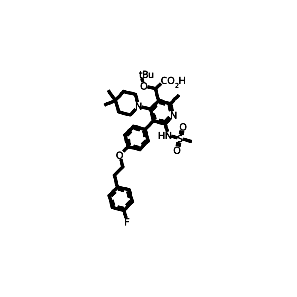 Cc1nc(NS(C)(=O)=O)c(-c2ccc(OCCc3ccc(F)cc3)cc2)c(N2CCC(C)(C)CC2)c1C(OC(C)(C)C)C(=O)O